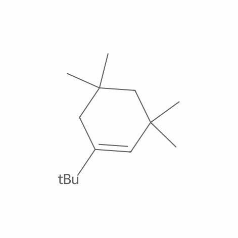 CC1(C)C=C(C(C)(C)C)CC(C)(C)C1